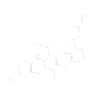 CCNSNc1nccc(Cc2cc(C(N)=O)c(Nc3ccc(C)cc3F)cc2F)c1F